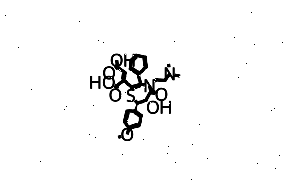 COc1ccc([C@H]2SC(/C(=C/C(=O)O)C(=O)O)=C(c3ccccc3)N(CCN(C)C)C(=O)[C@@H]2O)cc1